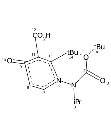 CC(C)N(C(=O)OC(C)(C)C)n1ccc(=O)c(C(=O)O)c1C(C)(C)C